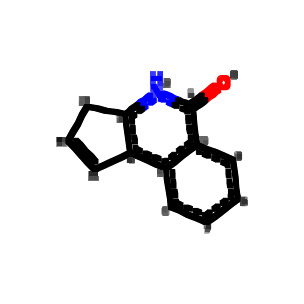 O=c1[nH]c2c(c3ccccc13)C=CC2